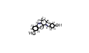 CC1(C)CC(C)(C)/C(=C\c2ccc(O)cc2)C(=O)/C1=C\c1ccc(O)cc1